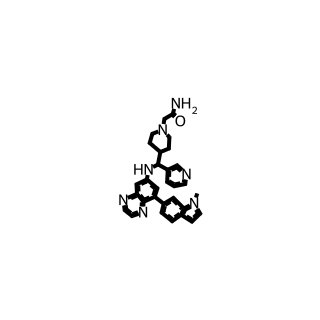 Cn1ccc2ccc(-c3cc(NC(c4cccnc4)C4CCN(CC(N)=O)CC4)cc4nccnc34)cc21